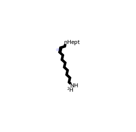 [2H]NCCCCCCCC/C=C\CCCCCCCC